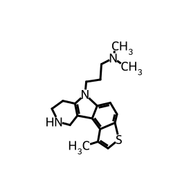 Cc1csc2ccc3c(c4c(n3CCCN(C)C)CCNC4)c12